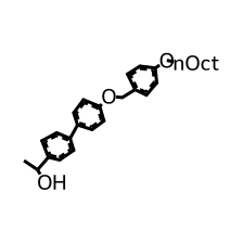 CCCCCCCCOc1ccc(COc2ccc(-c3ccc(C(C)O)cc3)cc2)cc1